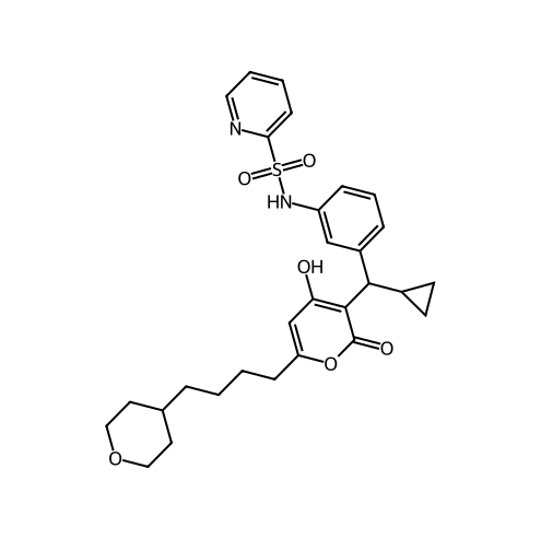 O=c1oc(CCCCC2CCOCC2)cc(O)c1C(c1cccc(NS(=O)(=O)c2ccccn2)c1)C1CC1